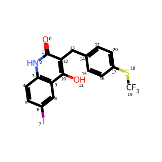 O=c1[nH]c2ccc(I)cc2c(O)c1Cc1ccc(SC(F)(F)F)cc1